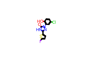 O=c1[nH]c(-c2ccc(I)s2)nn1-c1cc(Cl)ccc1O